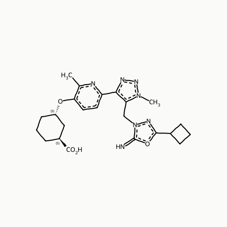 Cc1nc(-c2nnn(C)c2Cn2nc(C3CCC3)oc2=N)ccc1O[C@H]1CCC[C@H](C(=O)O)C1